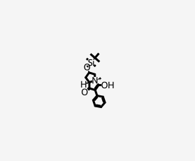 CC(C)(C)[Si](C)(C)O[C@H]1C[C@H]2C(=O)C(c3ccccc3)=C(O)[N@@+]2(C)C1